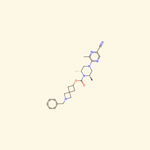 Cc1nc(C#N)cnc1N1C[C@@H](C)N(C(=O)OC2CC3(C2)CN(Cc2ccccc2)C3)[C@H](C)C1